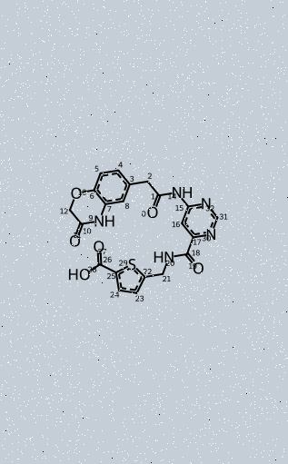 O=C(Cc1ccc2c(c1)NC(=O)CO2)Nc1cc(C(=O)NCc2ccc(C(=O)O)s2)ncn1